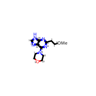 COCCc1nc(N2CCOCC2)c2nc[nH]c2n1